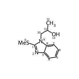 CSc1nc2ccccc2n1CC(C)O